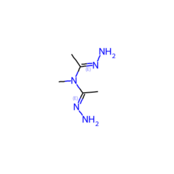 C/C(=N\N)N(C)/C(C)=N/N